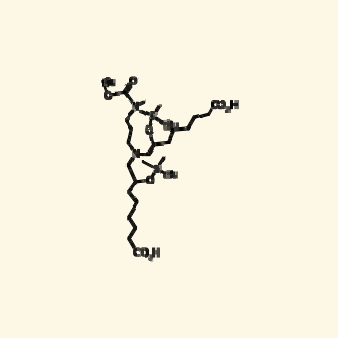 CN(CCCN(CC(CCCCCC(=O)O)O[Si](C)(C)C(C)(C)C)CC(CCCCCC(=O)O)O[Si](C)(C)C(C)(C)C)C(=O)OC(C)(C)C